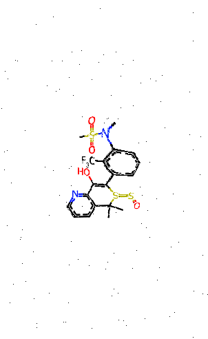 CN(c1cccc(C2=C(O)c3ncccc3C(C)(C)S2=S=O)c1C(F)(F)F)S(C)(=O)=O